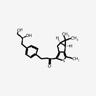 Cc1sc(C(=O)CCc2ccc(C[C@H](O)CO)cc2)c2c1[C@H]1[C@@H](C2)C1(C)C